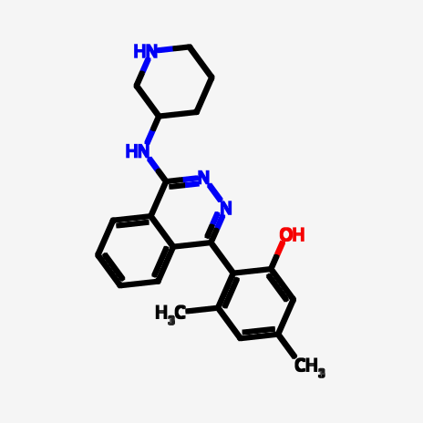 Cc1cc(C)c(-c2nnc(NC3CCCNC3)c3ccccc23)c(O)c1